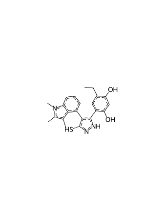 CCc1cc(-c2[nH]nc(S)c2-c2cccc3c2c(C)c(C)n3C)c(O)cc1O